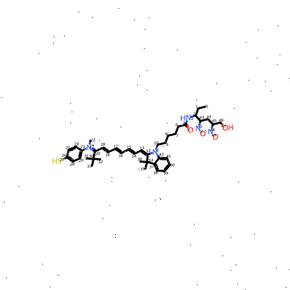 CCC(NC(=O)CCCCCN1/C(=C/C=C/C=C/C=C/C(=[N+](\C)c2ccc(S)cc2)C(C)(C)C)C(C)(C)c2ccccc21)C(CC(CO)N=O)N=O